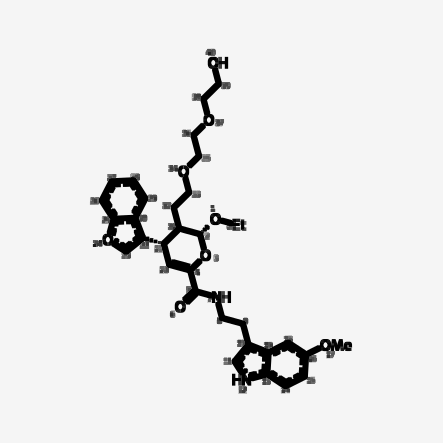 CCO[C@@H]1OC(C(=O)NCCc2c[nH]c3ccc(OC)cc23)=C[C@H](c2coc3ccccc23)C1CCOCCOCCO